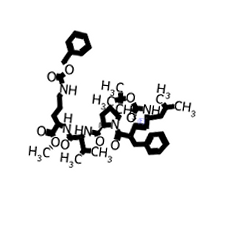 COC(=O)C(CCCNC(=O)OCc1ccccc1)NC(=O)C(NC(=O)[C@H]1CCCN1C(=O)C(/C=C/C(CC(C)C)NC(=O)OC(C)(C)C)Cc1ccccc1)C(C)C